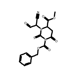 COC(=O)C1CC(=O)N(C(=O)OCc2ccccc2)C(=S)N1C(C#N)C=O